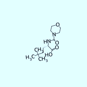 CC(C)(C)CC[C@H](NC(=O)N1CCOCC1)C(=O)O